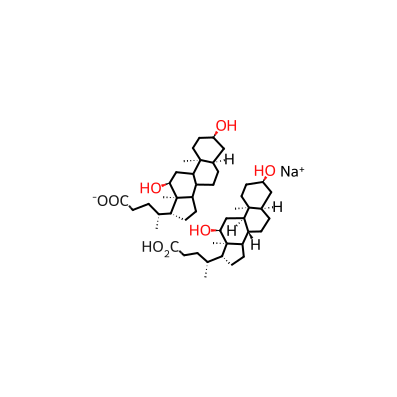 C[C@H](CCC(=O)O)[C@H]1CCC2[C@H]3CC[C@@H]4C[C@H](O)CC[C@]4(C)[C@@H]3C[C@H](O)[C@@]21C.C[C@H](CCC(=O)[O-])[C@H]1CCC2C3CC[C@@H]4C[C@H](O)CC[C@]4(C)C3C[C@H](O)[C@@]21C.[Na+]